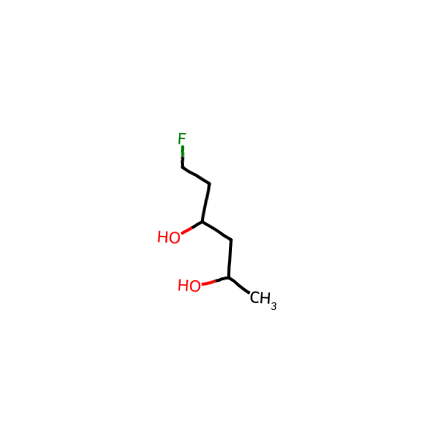 CC(O)CC(O)CCF